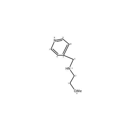 COCCNCc1ccncc1